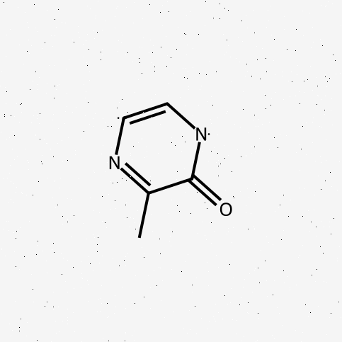 CC1=N[C]=C[N]C1=O